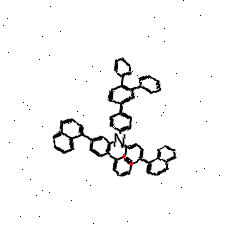 c1ccc(-c2ccc(-c3ccc(N(c4ccc(-c5cccc6ccccc56)cc4)c4cc(-c5cccc6ccccc56)ccc4-c4ccccc4)cc3)cc2-c2ccccc2)cc1